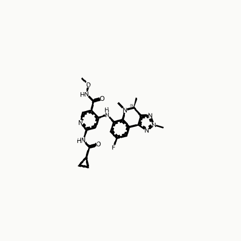 CONC(=O)c1cnc(NC(=O)C2CC2)cc1Nc1cc(F)cc2c1N(C)[C@@H](C)c1nn(C)nc1-2